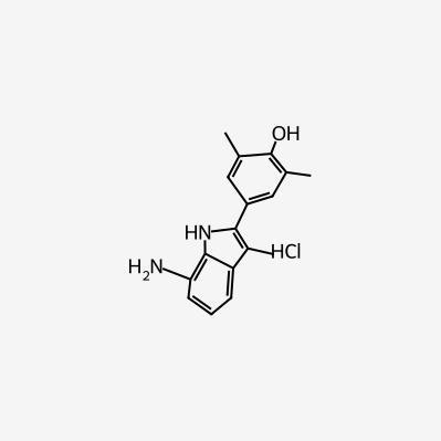 Cc1cc(-c2[nH]c3c(N)cccc3c2C)cc(C)c1O.Cl